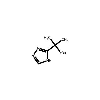 CC(C)(C)C(C)(C)c1nnc[nH]1